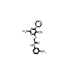 N#Cc1c(SCC(=O)Nc2cccc(C(F)(F)F)c2)nc(N)nc1N1CCOCC1